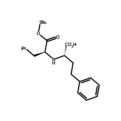 CC(C)C[C@H](N[C@@H](CCc1ccccc1)C(=O)O)C(=O)OC(C)(C)C